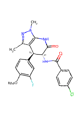 COc1ccc([C@H]2c3c(C)nn(C)c3NC(=O)[C@@H]2NC(=O)c2ccc(Cl)cc2)cc1F